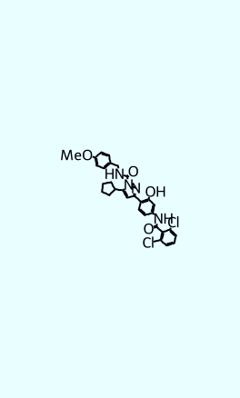 COc1ccc(CNC(=O)n2nc(-c3ccc(NC(=O)c4c(Cl)cccc4Cl)cc3O)cc2C2CCCC2)cc1